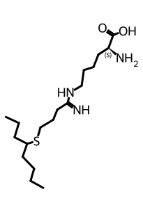 CCCCC(CCC)SCCCC(=N)NCCCC[C@H](N)C(=O)O